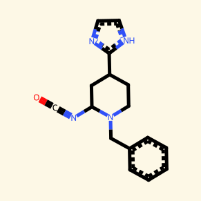 O=C=NC1CC(c2ncc[nH]2)CCN1Cc1ccccc1